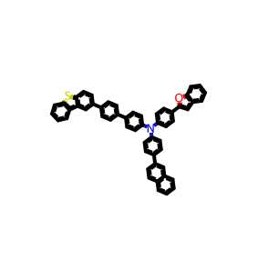 c1ccc2cc(-c3ccc(N(c4ccc(-c5ccc(-c6ccc7sc8ccccc8c7c6)cc5)cc4)c4ccc(-c5cc6ccccc6o5)cc4)cc3)ccc2c1